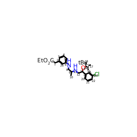 CCOC(=O)Cc1cccc(NCC(C)NCC(O[Si](C)(C)C(C)(C)C)c2cccc(Cl)c2)c1